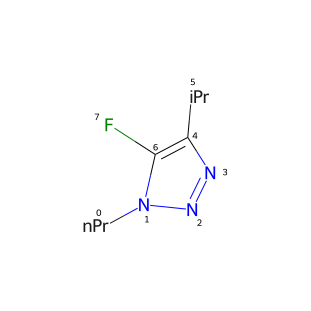 CCCn1nnc(C(C)C)c1F